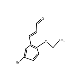 CCOc1ccc(Br)cc1C=CC=O